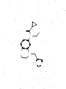 CCN(C(=O)C1CC1)c1ccc2c(c1)N(Cc1c[nH]cn1)CCO2